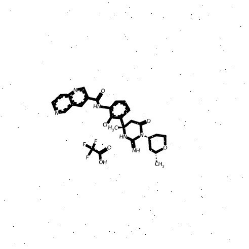 C[C@@H]1C[C@H](N2C(=N)N[C@](C)(c3cccc(NC(=O)c4cnc5ccncc5c4)c3Cl)CC2=O)CCO1.O=C(O)C(F)(F)F